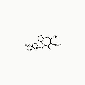 CNC1C(=O)N(CC2=CC(C)(C)C=C2)C2CCCC2CC1C